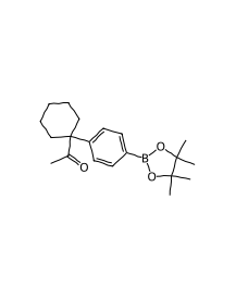 CC(=O)C1(c2ccc(B3OC(C)(C)C(C)(C)O3)cc2)CCCCC1